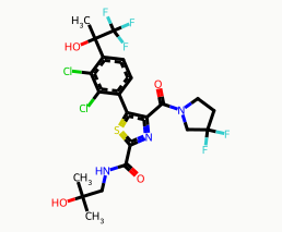 CC(C)(O)CNC(=O)c1nc(C(=O)N2CCC(F)(F)C2)c(-c2ccc(C(C)(O)C(F)(F)F)c(Cl)c2Cl)s1